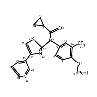 CCCCCOc1ccc(N(C(=O)C2CC2)c2nc(-c3cccnc3)cs2)cc1C(F)(F)F